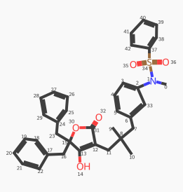 CN(c1cccc(CC(C)(C)CC2=C(O)C(Cc3ccccc3)(Cc3ccccc3)OC2=O)c1)S(=O)(=O)c1ccccc1